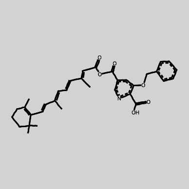 CC1=C(/C=C/C(C)=C/C=C/C(C)=C/C(=O)OC(=O)c2cnc(C(=O)O)c(OCc3ccccc3)c2)C(C)(C)CCC1